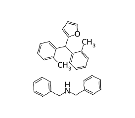 Cc1ccccc1C(c1ccco1)c1ccccc1C.c1ccc(CNCc2ccccc2)cc1